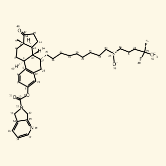 C[C@]12CC[C@@H]3c4ccc(OC(=O)N5Cc6cccnc6C5)cc4C[C@@H](CCCCCCCCC[S+]([O-])CCCC(F)(F)C(F)(F)F)[C@H]3[C@@H]1CCC2=O